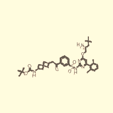 Cc1cccc(C)c1-c1cc(OC[C@H](N)CC(C)(C)C)nc(NS(=O)(=O)c2cccc(C(=O)CC3CC4(C3)CC(NC(=O)OC(C)(C)C)C4)c2)n1